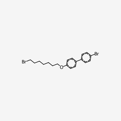 BrCCCCCCCOc1ccc(-c2ccc(Br)cc2)cc1